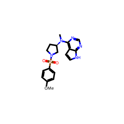 COc1ccc(S(=O)(=O)N2CC[C@@H](N(C)c3ncnc4[nH]ccc34)C2)cc1